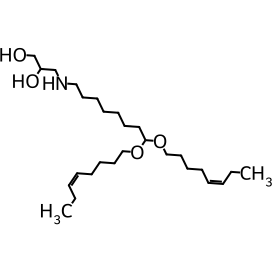 CC/C=C\CCCCOC(CCCCCCCNCC(O)CO)OCCCC/C=C\CC